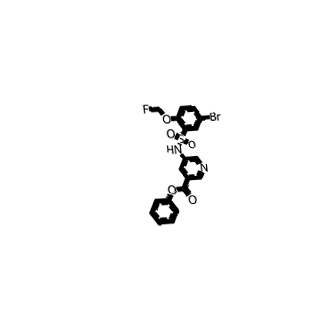 O=C(Oc1ccccc1)c1cncc(NS(=O)(=O)c2cc(Br)ccc2OCF)c1